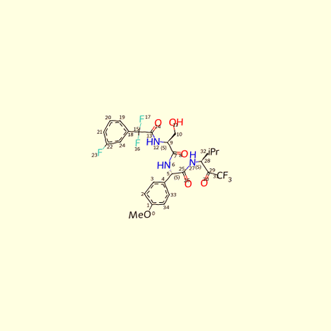 COc1ccc([C@H](NC(=O)[C@H](CO)NC(=O)C(F)(F)c2cccc(F)c2)C(=O)N[C@H](C(=O)C(F)(F)F)C(C)C)cc1